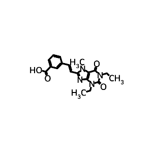 CCn1c(=O)c2c(nc(C=Cc3cccc(C(=O)O)c3)n2C)n(CC)c1=O